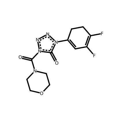 O=C(N1CCOCC1)n1nnn(C2=CC(F)=C(F)CC2)c1=O